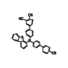 N#Cc1ccc(-c2ccc(N(c3ccc(-c4ccc(C#N)c(C#N)c4)cc3)c3cccc4c3sc3ccccc34)cc2)cc1